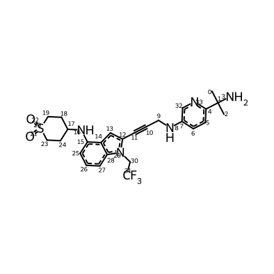 CC(C)(N)c1ccc(NCC#Cc2cc3c(NC4CCS(=O)(=O)CC4)cccc3n2CC(F)(F)F)cn1